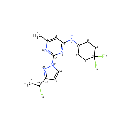 Cc1cc(NC2CCC(F)(F)CC2)nc(-n2ccc(C(C)F)n2)n1